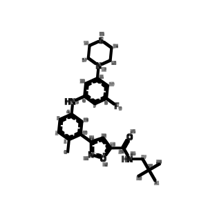 Cc1ccc(Nc2cc(F)cc(N3CCSCC3)c2)cc1-c1cc(C(=O)NCC(C)(C)C)on1